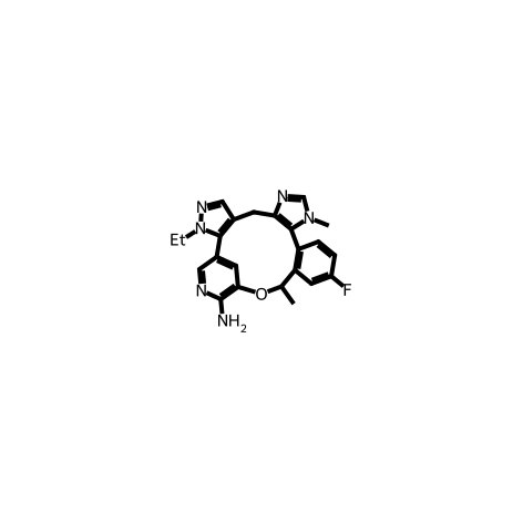 CCn1ncc2c1-c1cnc(N)c(c1)OC(C)c1cc(F)ccc1-c1c(ncn1C)C2